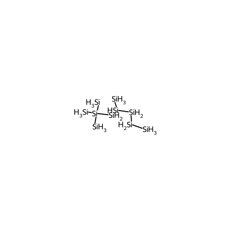 [SiH3][SiH2][SiH2][SiH]([SiH3])[SiH2][Si]([SiH3])([SiH3])[SiH3]